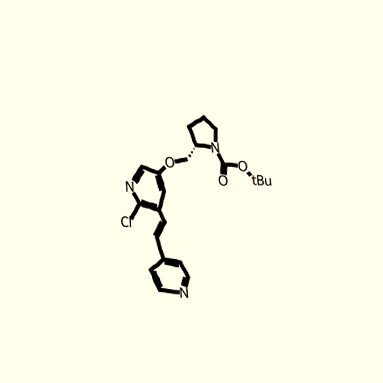 CC(C)(C)OC(=O)N1CCC[C@H]1COc1cnc(Cl)c(C=Cc2ccncc2)c1